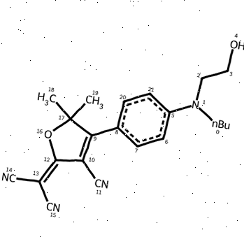 CCCCN(CCO)c1ccc(C2=C(C#N)C(=C(C#N)C#N)OC2(C)C)cc1